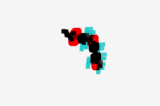 CCCC1COC(c2cc(F)c(C(F)(F)Oc3ccc(-c4cc(F)c(OCF)c(F)c4)c(F)c3)c(F)c2)OC1